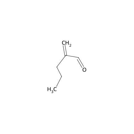 C=C(C=O)CCC